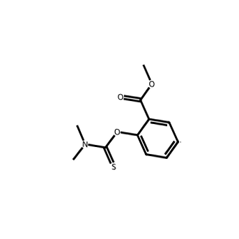 COC(=O)c1c[c]ccc1OC(=S)N(C)C